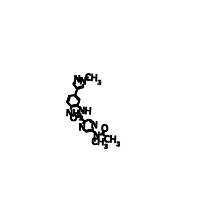 CC(=O)N(C)c1cnc(C(=O)Nc2cc(-c3cnn(C)c3)ccc2N)cn1